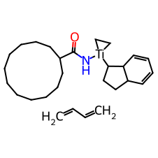 C=CC=C.O=C([NH][Ti]1([CH]2CCC3C=CC=CC32)[CH2][CH2]1)C1CCCCCCCCCCC1